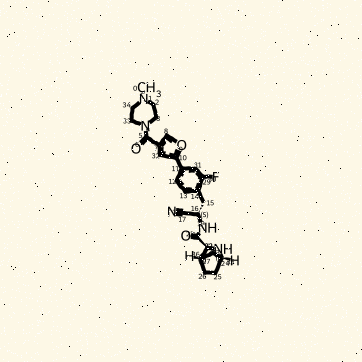 CN1CCN(C(=O)c2coc(-c3ccc(C[C@@H](C#N)NC(=O)[C@H]4N[C@@H]5CC[C@H]4C5)c(F)c3)c2)CC1